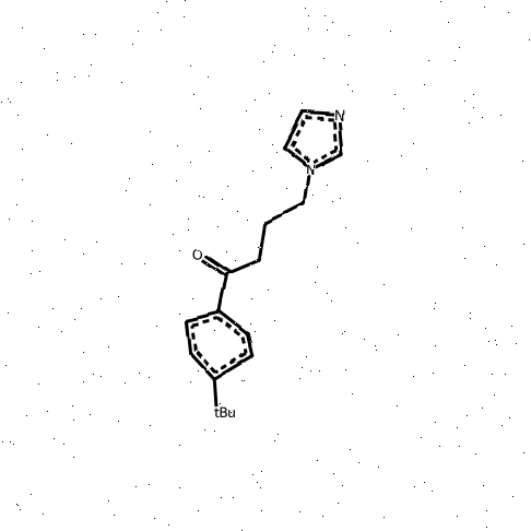 CC(C)(C)c1ccc(C(=O)CCCn2ccnc2)cc1